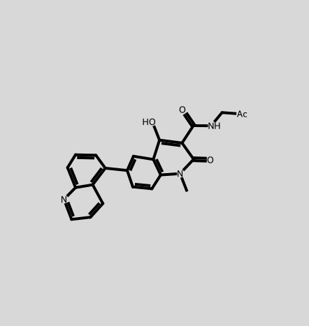 CC(=O)CNC(=O)c1c(O)c2cc(-c3cccc4ncccc34)ccc2n(C)c1=O